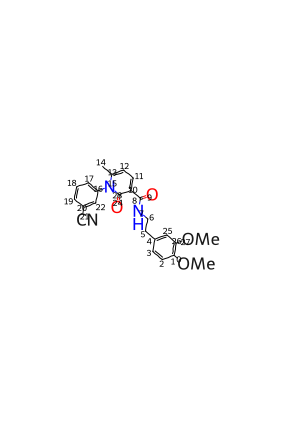 COc1ccc(CCNC(=O)c2ccc(C)n(-c3cccc(C#N)c3)c2=O)cc1OC